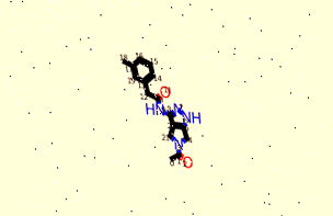 CC(=O)N1Cc2[nH]nc(NC(=O)Cc3cccc(C)c3)c2C1